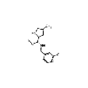 CC1CN[C@H]([C@H](NCc2ccnc(F)c2)OI)C1